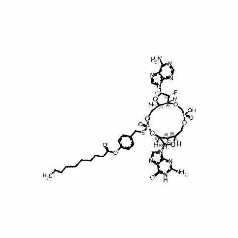 CCCCCCCCCC(=O)Oc1ccc(CSP2(=O)OC[C@H]3O[C@@H](n4cnc5c(N)ncnc54)[C@H](F)[C@@H]3OCP(=O)(O)OC[C@H]3O[C@@H](n4cnc5c(=O)[nH]c(N)nc54)[C@H](O2)[C@@H]3F)cc1